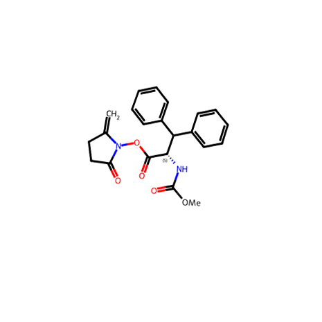 C=C1CCC(=O)N1OC(=O)[C@@H](NC(=O)OC)C(c1ccccc1)c1ccccc1